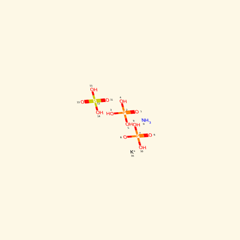 N.O=P(O)(O)O.O=P([O-])(O)O.O=S(=O)(O)O.[K+]